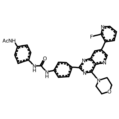 CC(=O)Nc1ccc(NC(=O)Nc2ccc(-c3nc(N4CCOCC4)c4ncc(-c5cccnc5F)cc4n3)cc2)cc1